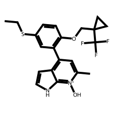 CCSc1ccc(OCC2(C(F)(F)F)CC2)c(-c2cc(C)[n+](O)c3[nH]ccc23)c1